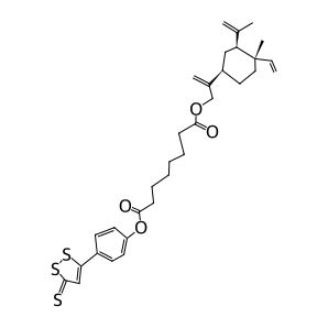 C=C[C@]1(C)CC[C@@H](C(=C)COC(=O)CCCCCCC(=O)Oc2ccc(-c3cc(=S)ss3)cc2)C[C@H]1C(=C)C